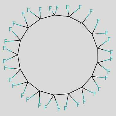 F[C]1C(F)(F)C(F)(F)C(F)(F)C(F)(F)C(F)(F)C(F)(F)C(F)(F)C(F)(F)C(F)(F)C(F)(F)C(F)(F)C(F)(F)C(F)(F)C(F)(F)C(F)(F)C1(F)F